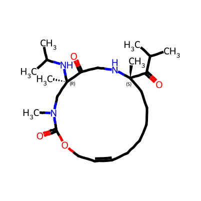 CC(C)N[C@]1(C)CN(C)C(=O)OCC=CCCCCC[C@@](C)(C(=O)C(C)C)NCC1=O